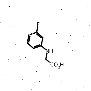 O=C(O)CNc1cccc(F)c1